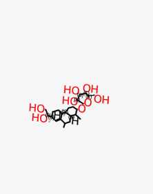 CC1C[C@H]2C(C)C(OC3O[C@H](CO)[C@@H](O)[C@H](O)[C@H]3O)CC[C@]2(C)[C@@H]2CC[C@](C)([C@@H](O)CO)C=C12